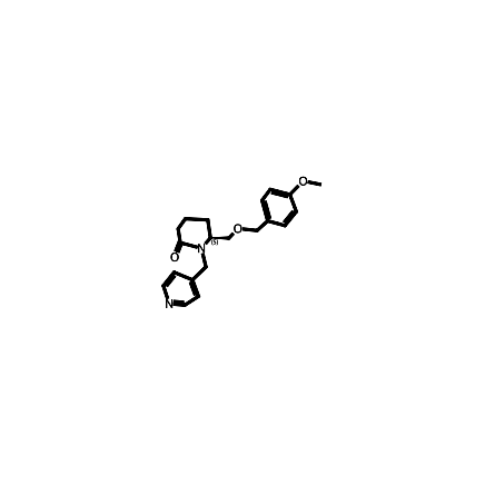 COc1ccc(COC[C@@H]2CCCC(=O)N2Cc2ccncc2)cc1